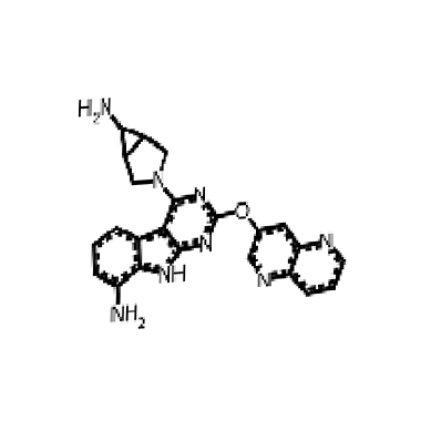 Nc1cccc2c1[nH]c1nc(Oc3cnc4cccnc4c3)nc(N3CC4C(N)C4C3)c12